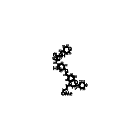 COCCCN1C[C@](C)(c2ccncc2)Oc2ccc(CO[C@@H]3CC[C@@H](CC(C)(C)C(=O)NCC4CCOCC4)NC3)cc21